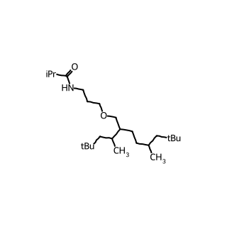 CC(CCC(COCCCNC(=O)C(C)C)C(C)CC(C)(C)C)CC(C)(C)C